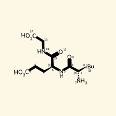 CC[C@H](C)[C@H](N)C(=O)N[C@@H](CCC(=O)O)C(=O)NCC(=O)O